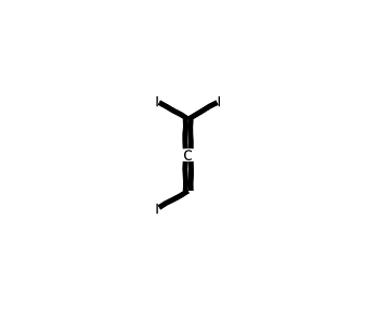 IC=C=C(I)I